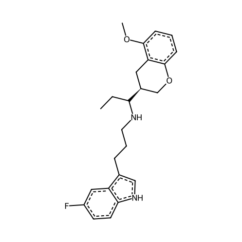 CCC(NCCCc1c[nH]c2ccc(F)cc12)[C@@H]1COc2cccc(OC)c2C1